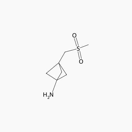 CS(=O)(=O)CC12CC(N)(C1)C2